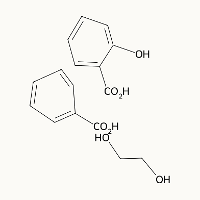 O=C(O)c1ccccc1.O=C(O)c1ccccc1O.OCCO